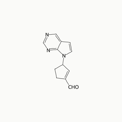 O=CC1=CC(n2ccc3cncnc32)CC1